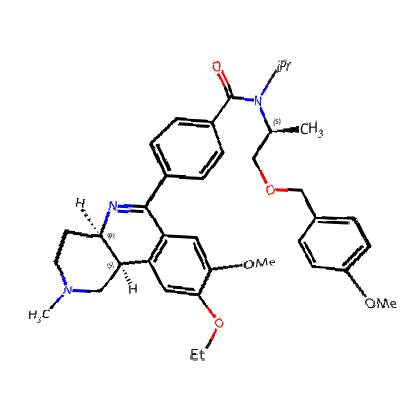 CCOc1cc2c(cc1OC)C(c1ccc(C(=O)N(C(C)C)[C@@H](C)COCc3ccc(OC)cc3)cc1)=N[C@@H]1CCN(C)C[C@H]21